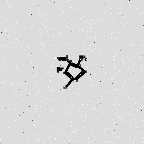 Nc1ccc(F)cc1C(=O)[O-].[Na+]